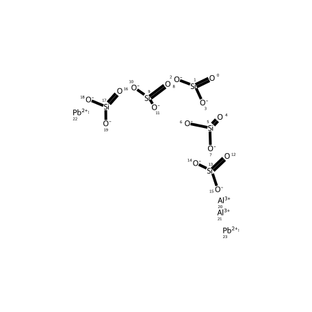 O=[Si]([O-])[O-].O=[Si]([O-])[O-].O=[Si]([O-])[O-].O=[Si]([O-])[O-].O=[Si]([O-])[O-].[Al+3].[Al+3].[Pb+2].[Pb+2]